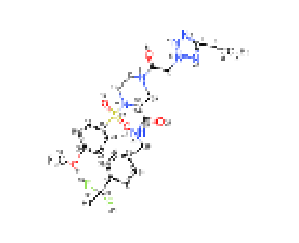 CCOC(=O)Cc1nnn(CC(=O)N2CCN(S(=O)(=O)c3ccc(OC(F)(F)F)cc3)[C@@H](C(=O)NCc3ccc(C(F)(F)CC)cc3)C2)n1